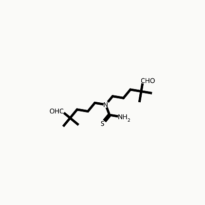 CC(C)(C=O)CCCN(CCCC(C)(C)C=O)C(N)=S